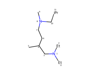 CCN(CC)CC(C)CCN(C)CC(C)C